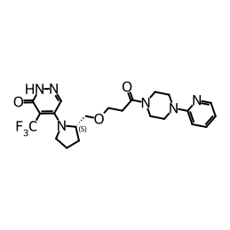 O=C(CCOC[C@@H]1CCCN1c1cn[nH]c(=O)c1C(F)(F)F)N1CCN(c2ccccn2)CC1